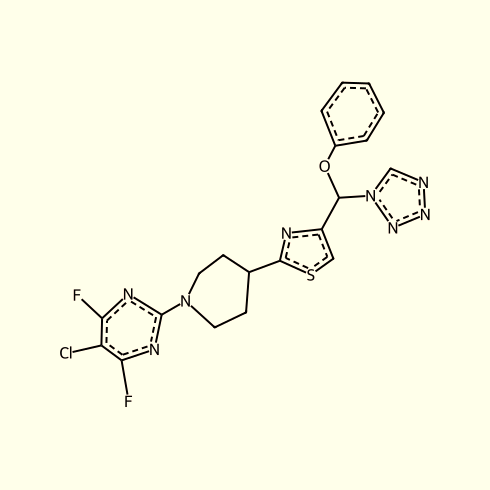 Fc1nc(N2CCC(c3nc(C(Oc4ccccc4)n4cnnn4)cs3)CC2)nc(F)c1Cl